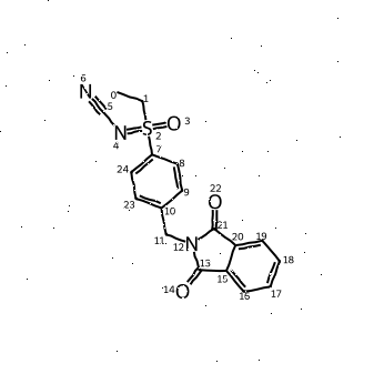 CCS(=O)(=NC#N)c1ccc(CN2C(=O)c3ccccc3C2=O)cc1